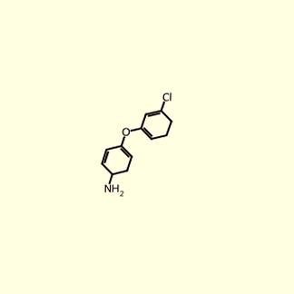 NC1C=CC(OC2=CCCC(Cl)=C2)=CC1